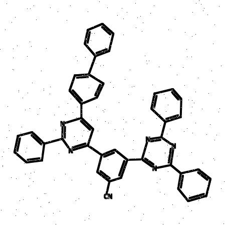 N#Cc1cc(-c2cc(-c3ccc(-c4ccccc4)cc3)nc(-c3ccccc3)n2)cc(-c2nc(-c3ccccc3)nc(-c3ccccc3)n2)c1